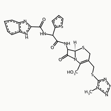 Cn1nnnc1SCC1=C(C(=O)O)N2C(=O)C(NC(=O)C(NC(=O)c3nc4ccccc4[nH]3)c3cccs3)[C@H]2SC1